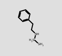 [SiH3][SiH2]NCCc1ccccc1